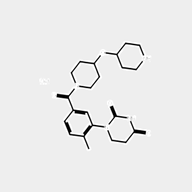 Cc1ccc(C(=O)N2CCC(OC3CCNCC3)CC2)cc1N1CCC(=O)NC1=O.Cl